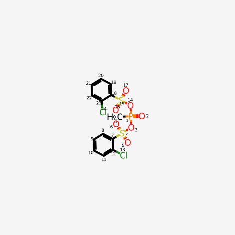 CP(=O)(OS(=O)(=O)c1ccccc1Cl)OS(=O)(=O)c1ccccc1Cl